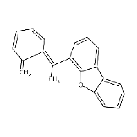 C=c1cccc/c1=C(/C)c1cccc2c1oc1ccccc12